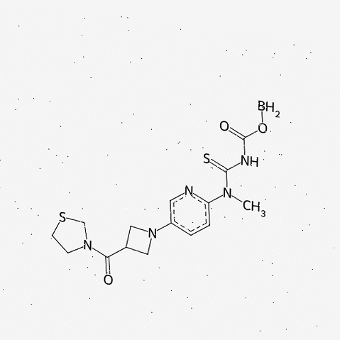 BOC(=O)NC(=S)N(C)c1ccc(N2CC(C(=O)N3CCSC3)C2)cn1